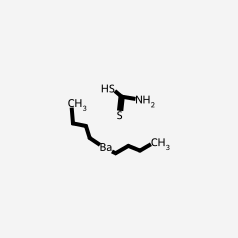 CCC[CH2][Ba][CH2]CCC.NC(=S)S